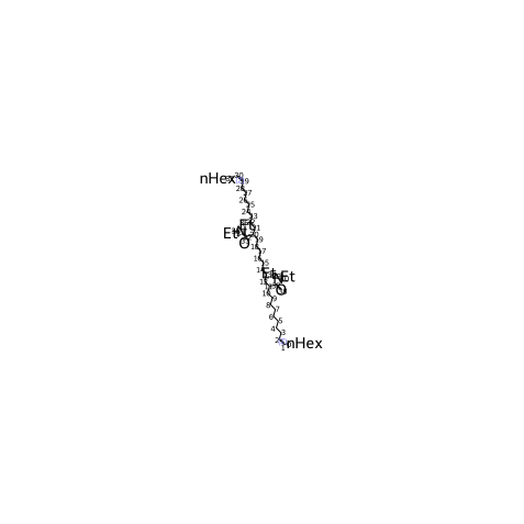 CCCCCC/C=C\CCCCCCCCC(CCCCCCCCC(CCCCCCCC/C=C\CCCCCC)C(=O)N(CC)CC)C(=O)N(CC)CC